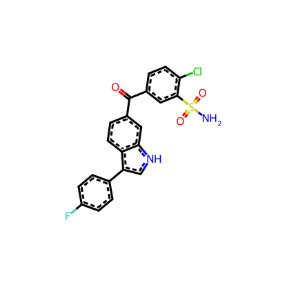 NS(=O)(=O)c1cc(C(=O)c2ccc3c(-c4ccc(F)cc4)c[nH]c3c2)ccc1Cl